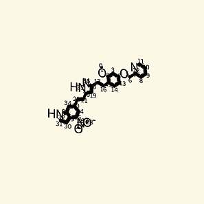 COc1cc(OCc2ccccn2)ccc1C=Cc1cc(C=Cc2cc([N+](=O)[O-])c3cc[nH]c3c2)[nH]n1